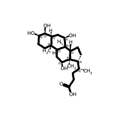 C[C@H](CCC(=O)O)[C@H]1CC[C@H]2[C@@H]3[C@H](O)C[C@@H]4[C@H](O)[C@H](O)CC[C@]4(C)[C@H]3C[C@H](O)[C@]12C